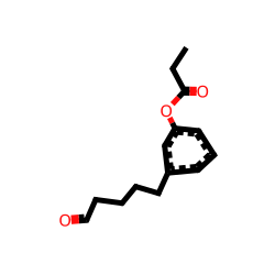 CCC(=O)Oc1cccc(CCCCC=O)c1